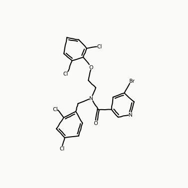 O=C(c1cncc(Br)c1)N(CCOc1c(Cl)cccc1Cl)Cc1ccc(Cl)cc1Cl